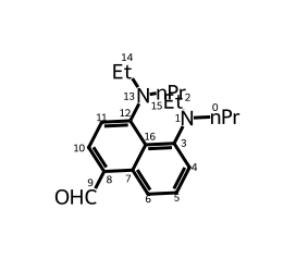 CCCN(CC)c1cccc2c(C=O)ccc(N(CC)CCC)c12